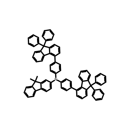 CC1(C)c2ccccc2-c2ccc(N(c3ccc(-c4cccc5c4-c4ccccc4C5(c4ccccc4)c4ccccc4)cc3)c3ccc(-c4cccc5c4-c4ccccc4C5(c4ccccc4)c4ccccc4)cc3)cc21